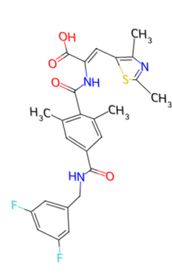 Cc1nc(C)c(/C=C(\NC(=O)c2c(C)cc(C(=O)NCc3cc(F)cc(F)c3)cc2C)C(=O)O)s1